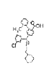 Cc1ccccc1-c1cc(C(OCCCC2CCCCC2)c2cccc(Cl)c2)ccc1C(=O)O